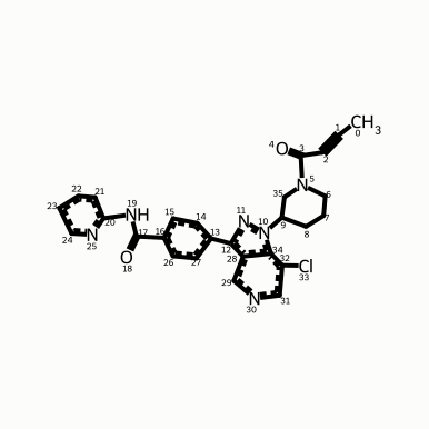 CC#CC(=O)N1CCCC(n2nc(-c3ccc(C(=O)Nc4ccccn4)cc3)c3cncc(Cl)c32)C1